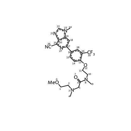 COCCN(C)CC(=O)N(C)CCOc1ccc(-c2cc3c(ncn3C)c(C#N)n2)cc1C(F)(F)F